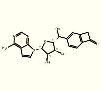 Cc1ncnc2c1ccn2[C@@H]1O[C@H](C(O)c2ccc3c(c2)CC3=O)[C@@H](O)[C@H]1O